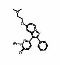 CC(C)n1nc(-c2c(-c3ccccc3)nn3ccc(OCCN(C)C)cc23)ccc1=O